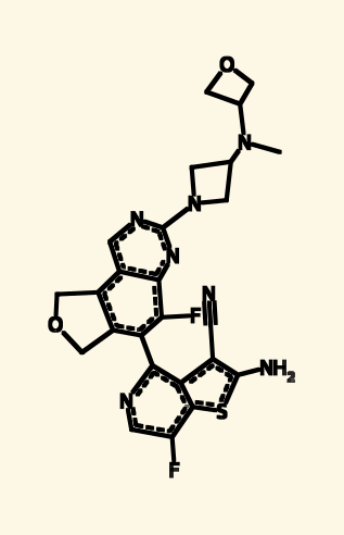 CN(C1COC1)C1CN(c2ncc3c4c(c(-c5ncc(F)c6sc(N)c(C#N)c56)c(F)c3n2)COC4)C1